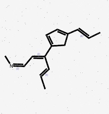 C/C=C/C1=CC=C(C(/C=C/C)=C/C=N\C)C1